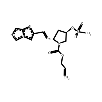 C=CCOC(=O)N1C[C@H](OS(C)(=O)=O)C[C@H]1/C=C/c1cn2cncc2s1